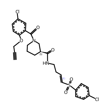 C#CCOc1ccc(Cl)cc1C(=O)N1CCC[C@H](C(=O)NCC/C=C/S(=O)(=O)c2ccc(Cl)cc2)C1